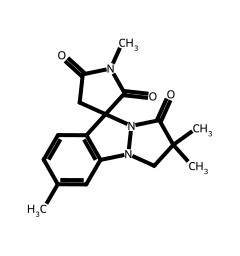 Cc1ccc2c(c1)N1CC(C)(C)C(=O)N1C21CC(=O)N(C)C1=O